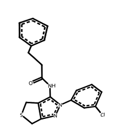 O=C(CCc1ccccc1)Nc1c2c(nn1-c1cccc(Cl)c1)CSC2